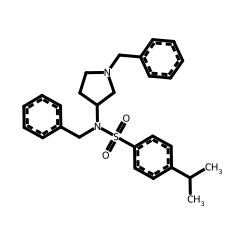 CC(C)c1ccc(S(=O)(=O)N(Cc2ccccc2)C2CCN(Cc3ccccc3)C2)cc1